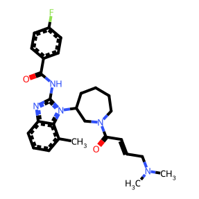 Cc1cccc2nc(NC(=O)c3ccc(F)cc3)n(C3CCCCN(C(=O)C=CCN(C)C)C3)c12